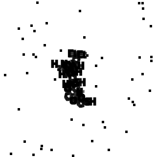 CCC(C)(CC)C1CCC(Nc2nc(N)nc(Nc3cc(Nc4ccc5c6c4C(=O)c4ccccc4-c6c(C(=O)c4cccc(S)c4)c(=O)n5C)c(S)cc3S)n2)C(C)C1